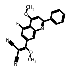 COC(=C(C#N)C#N)c1cc(F)c2c(OC)cc(-c3ccccc3)nc2c1